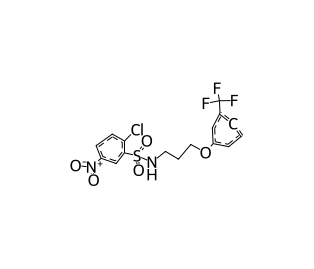 O=[N+]([O-])c1ccc(Cl)c(S(=O)(=O)NCCCOc2cccc(C(F)(F)F)c2)c1